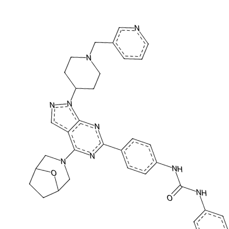 O=C(Nc1ccccc1)Nc1ccc(-c2nc(N3CC4CCC(C3)O4)c3cnn(C4CCN(Cc5cccnc5)CC4)c3n2)cc1